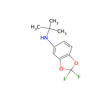 CC(C)(C)Nc1ccc2c(c1)OC(F)(F)O2